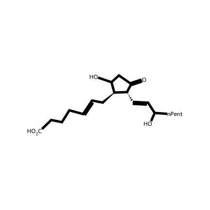 CCCCCC(O)C=C[C@H]1C(=O)CC(O)[C@@H]1CC=CCCCC(=O)O